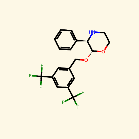 FC(F)(F)c1cc(CO[C@H]2OCCN[C@@H]2c2ccccc2)cc(C(F)(F)F)c1